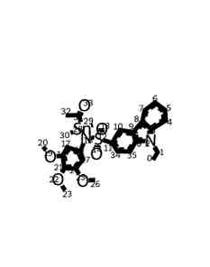 CCn1c2ccccc2c2cc(S(=O)(=O)[N](c3cc(OC)c(OC)c(OC)c3)[Sn]([CH3])([CH3])[C](C)=O)ccc21